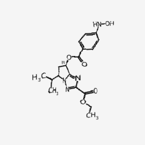 CCOC(=O)c1nc2n(n1)C(C(C)C)C[C@H]2OC(=O)c1ccc(NO)cc1